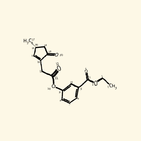 CCOC(=O)c1cccc(OC(=O)CC2=C[C@H](C)CC2=O)c1